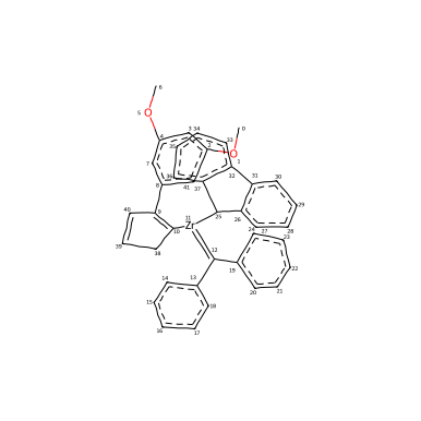 COc1cc(OC)cc(C2=[C]([Zr](=[C](c3ccccc3)c3ccccc3)[CH]3c4ccccc4-c4ccccc43)CC=C2)c1